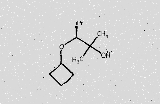 CC(C)[C@H](OC1CCC1)C(C)(C)O